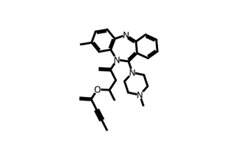 C=C(C#CC)OC(C)CC(=C)N1C(N2CCN(C)CC2)=c2ccccc2=Nc2ccc(C)cc21